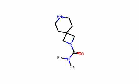 CCN(CC)C(=O)N1CC2(CCNCC2)C1